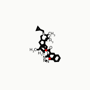 CCCC(C1CCC2(C)C(C)N(CC3CC3)CC3Cc4ccc(Oc5nnnn5-c5ccccc5)cc4C312)N(C)C(=O)c1ccccc1